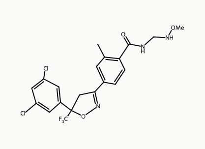 CONCNC(=O)c1ccc(C2=NOC(c3cc(Cl)cc(Cl)c3)(C(F)(F)F)C2)cc1C